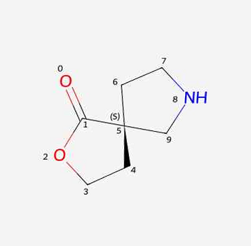 O=C1OCC[C@]12CCNC2